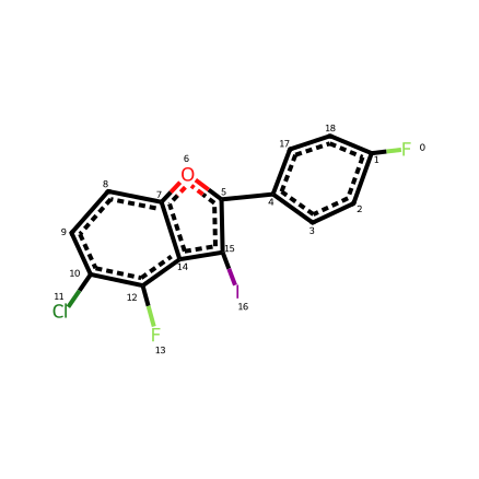 Fc1ccc(-c2oc3ccc(Cl)c(F)c3c2I)cc1